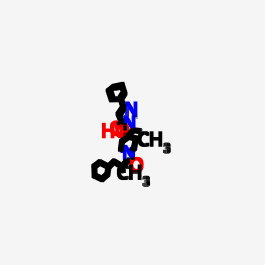 CCC(n1cnc(-c2ccccc2)cc1=O)C1(O)CCN(C(=O)C(C)CC2CCCCC2)CC1